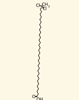 C[Si](Cl)(Cl)CCCCCCCCCCCCCCCCCCCCCCCCCCCCCCCCCCC(=O)O